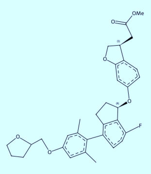 COC(=O)C[C@@H]1COc2cc(O[C@@H]3CCc4c(-c5c(C)cc(OCC6CCCO6)cc5C)ccc(F)c43)ccc21